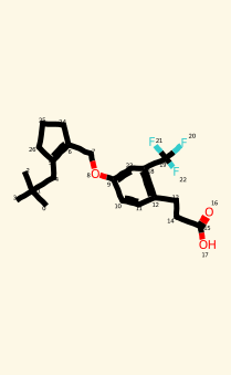 CC(C)(C)CC1=C(COc2ccc(CCC(=O)O)c(C(F)(F)F)c2)CCC1